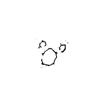 CC[C@H]1OC(=O)[C@H](C)[C@@H](O[C@H]2CC(C)(OC)[C@@H](O)C(C)O2)[C@H](C)[C@@H](O[C@@H]2OC=CC(N(C)C)C2O)C(C)(O)C[C@@H](C)C(=O)[C@H](C)[C@@H](O)[C@]1(C)O